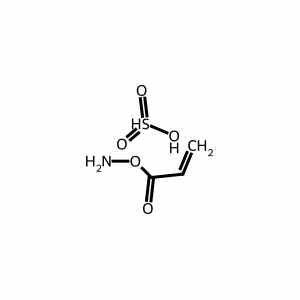 C=CC(=O)ON.O=[SH](=O)O